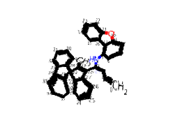 C=C/C=C(/Nc1cccc2oc3ccccc3c12)C1=C(C)C2(c3ccccc31)c1ccccc1-c1ccccc12